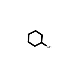 OC1CC[C]CC1